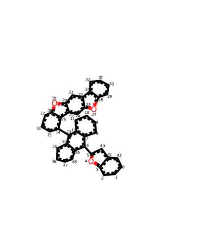 c1ccc2oc(-c3c4ccccc4c(-c4cccc5oc6cc7c(cc6c45)oc4ccccc47)c4ccccc34)cc2c1